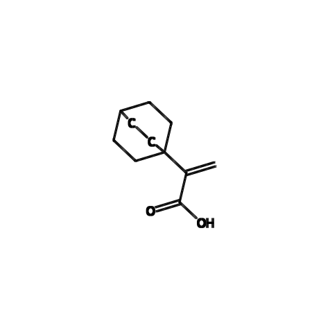 C=C(C(=O)O)C12CCC(CC1)CC2